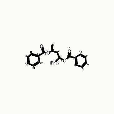 CC(CC(OC(=O)c1ccccc1)C(C)C)OC(=O)c1ccccc1